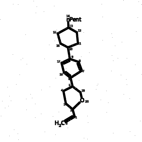 C=CC1CCC(c2ccc(C3CCC(CCCCC)CC3)cc2)CO1